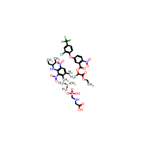 CCC(CC)Nc1c([N+](=O)[O-])cc(C)c(C)c1[N+](=O)[O-].CCOC(=O)C(C)OC(=O)c1cc(Oc2ccc(C(F)(F)F)cc2Cl)ccc1[N+](=O)[O-].C[S+](C)C.O=C(O)CNCP(=O)([O-])O